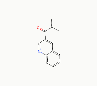 CC(C)C(=O)c1cnc2ccccc2c1